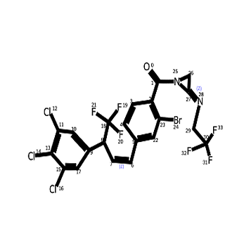 O=C(c1ccc(/C=C\C(c2cc(Cl)c(Cl)c(Cl)c2)C(F)(F)F)cc1Br)N1C/C1=N/CC(F)(F)F